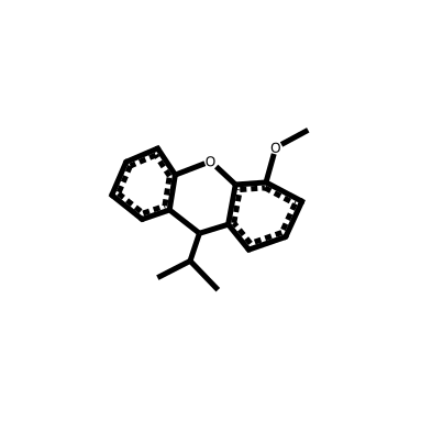 COc1cccc2c1Oc1ccccc1C2C(C)C